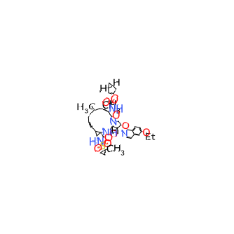 CCOc1ccc2c(O[C@@H]3C[C@H]4C(=O)N[C@]5(C(=O)NS(=O)(=O)C6(C)CC6)CC5/C=C\CC[C@@H](C)C[C@@H](C)[C@H](NC(=O)O[C@@H]5C[C@@H]6C[C@@H]6C5)C(=O)N4C3)nccc2c1